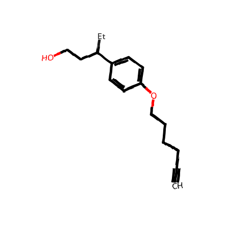 C#CCCCCOc1ccc(C(CC)CCO)cc1